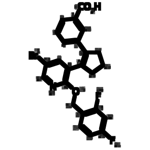 O=C(O)c1cccc(C2=C(c3cc(Br)cnc3OCc3ccc(F)cc3F)CCC2)c1